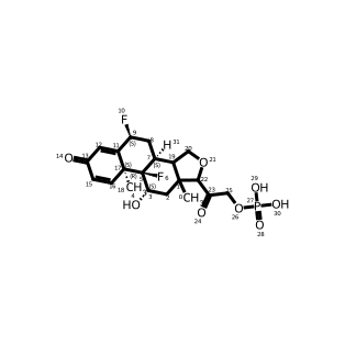 CC12C[C@H](O)[C@@]3(F)[C@@H](C[C@H](F)C4=CC(=O)C=C[C@@]43C)C1COC2C(=O)COP(=O)(O)O